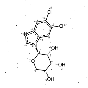 O[C@@H]1[C@H](O)[C@H](O)CO[C@H]1n1cnc2cc(Cl)c(Cl)cc21